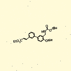 CCOC(=O)C=Cc1cccc(-c2ccc(OC)c(CNC(=O)OC(C)(C)C)c2)c1